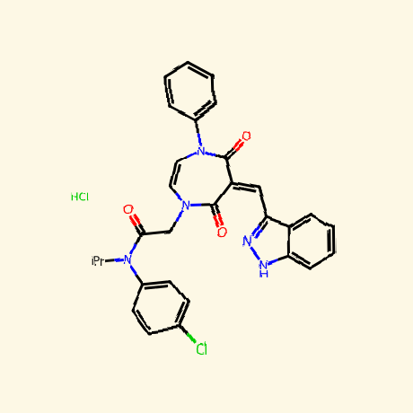 CC(C)N(C(=O)CN1C=CN(c2ccccc2)C(=O)/C(=C/c2n[nH]c3ccccc23)C1=O)c1ccc(Cl)cc1.Cl